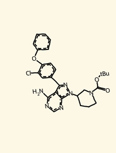 CC(C)(C)OC(=O)N1CCCC(n2nc(-c3ccc(Oc4ccccc4)c(Cl)c3)c3c(N)ncnc32)C1